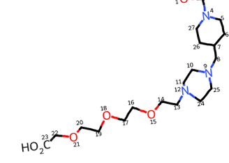 CC(C)(C)OC(=O)N1CCC(CN2CCN(CCOCCOCCOCC(=O)O)CC2)CC1